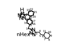 CCCCCCn1nc(CCC2CCCCC2)nc1Cc1ccc(-c2ccccc2-c2nnn[nH]2)cc1